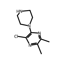 Cc1nc(Cl)c(N2CCNCC2)nc1C